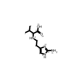 CC(C)C(NCCc1c[nH]c(N)n1)C(=O)O